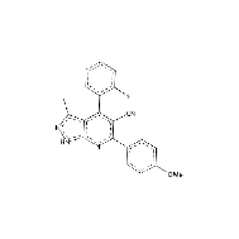 COc1ccc(-c2nc3[nH]nc(C)c3c(-c3ccccc3F)c2C#N)cc1